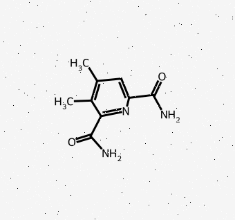 Cc1cc(C(N)=O)nc(C(N)=O)c1C